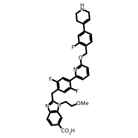 COCCn1c(Cc2cc(F)c(-c3cccc(OCc4ccc(C5=CCNCC5)cc4F)n3)cc2F)nc2ccc(C(=O)O)cc21